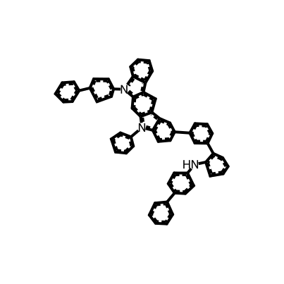 c1ccc(-c2ccc(Nc3ccccc3-c3cccc(-c4ccc5c(c4)c4cc6c7ccccc7n(-c7ccc(-c8ccccc8)cc7)c6cc4n5-c4ccccc4)c3)cc2)cc1